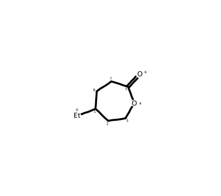 CCC1CCOC(=O)CC1